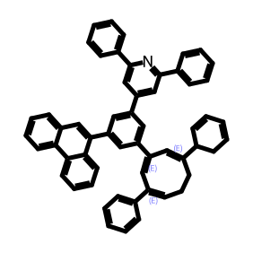 C1=CCC(/C2=C/C(c3cc(-c4cc(-c5ccccc5)nc(-c5ccccc5)c4)cc(-c4cc5ccccc5c5ccccc45)c3)=C\C(c3ccccc3)=C/CC2)C=C1